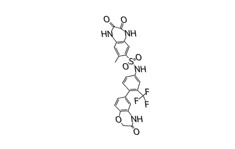 Cc1cc2[nH]c(=O)c(=O)[nH]c2cc1S(=O)(=O)Nc1ccc(-c2ccc3c(c2)NC(=O)CO3)c(C(F)(F)F)c1